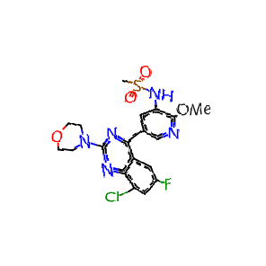 COc1ncc(-c2nc(N3CCOCC3)nc3c(Cl)cc(F)cc23)cc1NS(C)(=O)=O